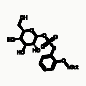 CCCCCCCCOc1ccccc1OS(=O)(=O)O[C@@H]1O[C@H](CO)[C@@H](O)[C@H](O)[C@H]1O